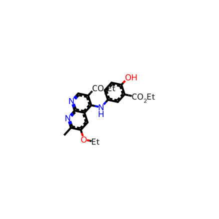 CCOC(=O)c1cc(Nc2c(C(=O)OCC)cnc3nc(C)c(OCC)cc23)ccc1O